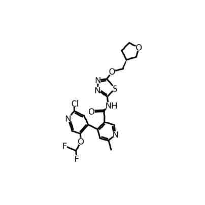 Cc1cc(-c2cc(Cl)ncc2OC(F)F)c(C(=O)Nc2nnc(OC[C@H]3CCOC3)s2)cn1